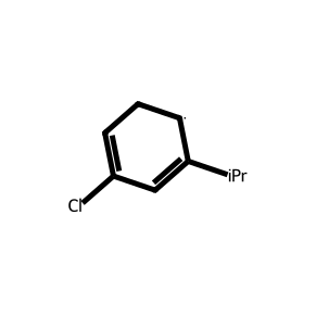 CC(C)C1=CC(Cl)=CC[CH]1